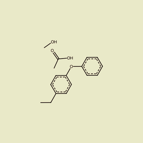 CC(=O)O.CCc1ccc(Oc2ccccc2)cc1.CO